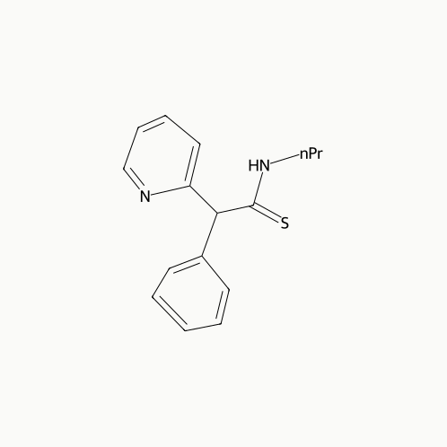 CCCNC(=S)C(c1ccccc1)c1ccccn1